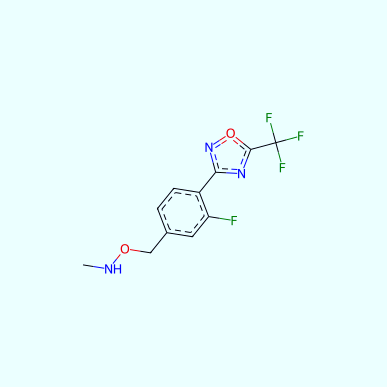 CNOCc1ccc(-c2noc(C(F)(F)F)n2)c(F)c1